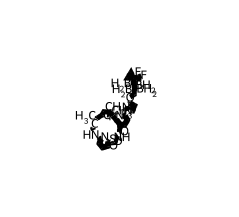 BC(B)(COc1ccn(-c2ccc3c(n2)N2CC(CC2(C)C)[C@@H](C)CCNc2cccc(n2)S(=O)(=O)NC3=O)n1)C(B)(B)C1(C(F)(F)F)CC1